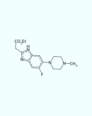 CCOC(=O)Cc1nc2cc(F)c(N3CCN(C)CC3)cc2[nH]1